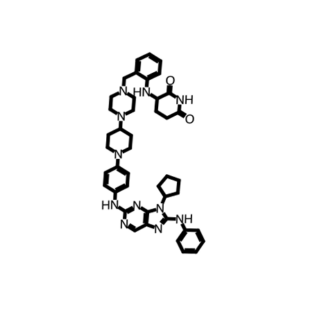 O=C1CCC(Nc2ccccc2CN2CCN(C3CCN(c4ccc(Nc5ncc6nc(Nc7ccccc7)n(C7CCCC7)c6n5)cc4)CC3)CC2)C(=O)N1